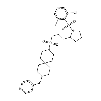 Cc1cccc(Cl)c1S(=O)(=O)N1CCCC1CCCS(=O)(=O)N1CCC2(CCC(Oc3ccncc3)CC2)CC1